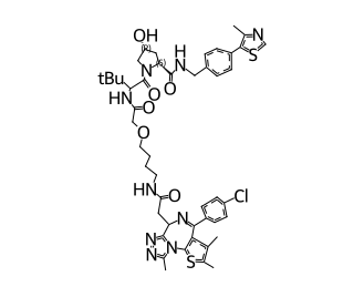 Cc1ncsc1-c1ccc(CNC(=O)[C@@H]2C[C@@H](O)CN2C(=O)C(NC(=O)COCCCCNC(=O)CC2N=C(c3ccc(Cl)cc3)c3c(sc(C)c3C)-n3c(C)nnc32)C(C)(C)C)cc1